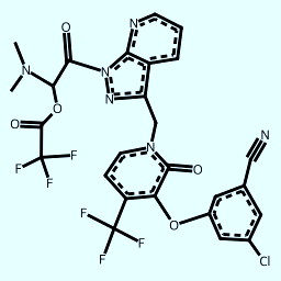 CN(C)C(OC(=O)C(F)(F)F)C(=O)n1nc(Cn2ccc(C(F)(F)F)c(Oc3cc(Cl)cc(C#N)c3)c2=O)c2cccnc21